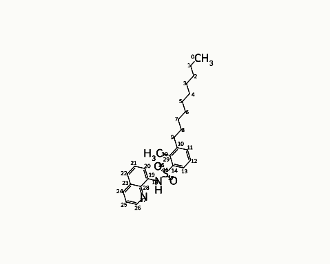 CCCCCCCCCCc1cccc(S(=O)(=O)Nc2cccc3cccnc23)c1C